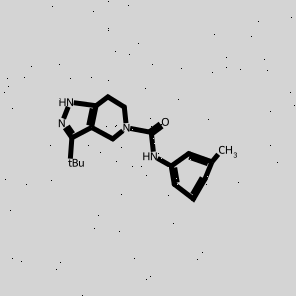 Cc1cccc(NC(=O)N2CCc3[nH]nc(C(C)(C)C)c3C2)c1